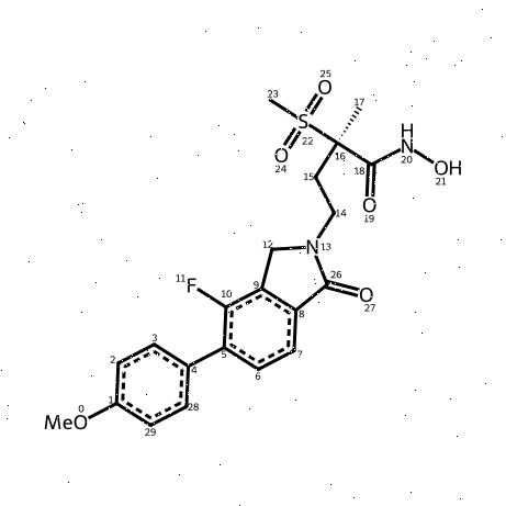 COc1ccc(-c2ccc3c(c2F)CN(CC[C@](C)(C(=O)NO)S(C)(=O)=O)C3=O)cc1